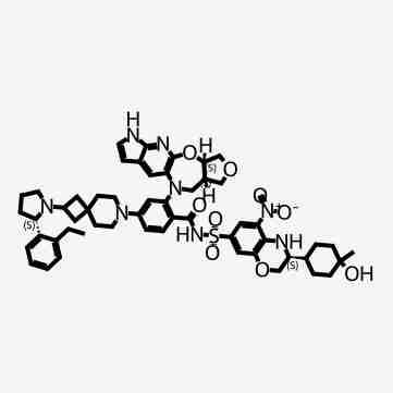 CCc1ccccc1[C@@H]1CCCN1C1CC2(CCN(c3ccc(C(=O)NS(=O)(=O)c4cc5c(c([N+](=O)[O-])c4)N[C@@H](C4CCC(C)(O)CC4)CO5)c(N4C[C@H]5COC[C@H]5Oc5nc6[nH]ccc6cc54)c3)CC2)C1